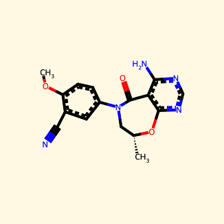 COc1ccc(N2C[C@@H](C)Oc3ncnc(N)c3C2=O)cc1C#N